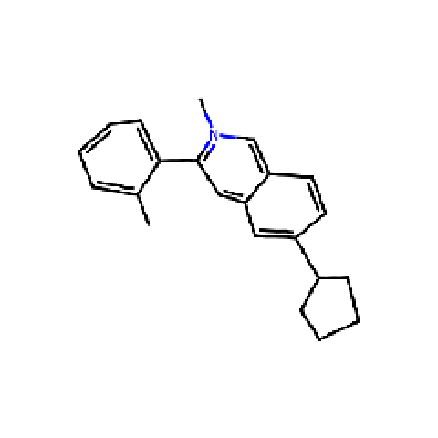 Cc1ccccc1-c1cc2cc(C3CCCC3)ccc2c[n+]1C